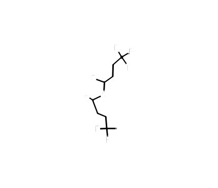 FC(CCC(F)(F)F)SC(F)CCC(F)(F)F